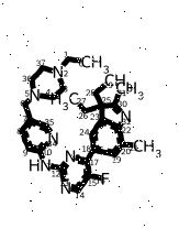 CCN1CCN(Cc2ccc(Nc3ncc(F)c(-c4cc(C)c5c(c4)C(CC)(CC)C(C)=N5)n3)nc2)CC1